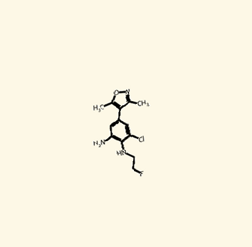 Cc1noc(C)c1-c1cc(N)c(NCCF)c(Cl)c1